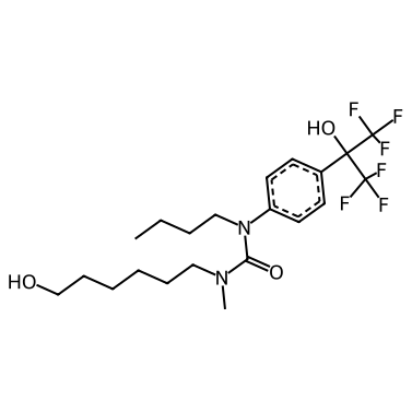 CCCCN(C(=O)N(C)CCCCCCO)c1ccc(C(O)(C(F)(F)F)C(F)(F)F)cc1